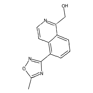 Cc1nc(-c2cccc3c(CO)nccc23)no1